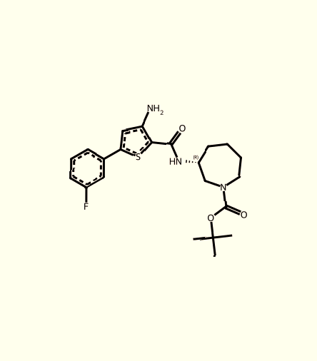 CC(C)(C)OC(=O)N1CCCC[C@@H](NC(=O)c2sc(-c3cccc(F)c3)cc2N)C1